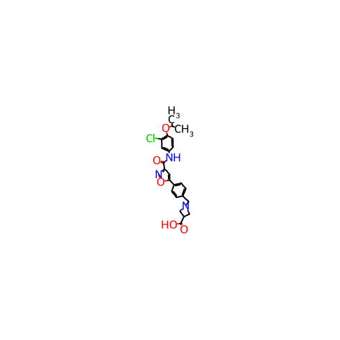 CC(C)Oc1ccc(NC(=O)c2cc(-c3ccc(CN4CC(C(=O)O)C4)cc3)on2)cc1Cl